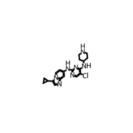 Clc1cnc(Nc2ccn3c(C4CC4)cnc3c2)nc1NC1CCNCC1